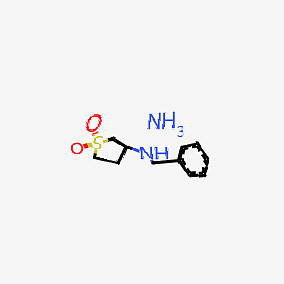 N.O=S1(=O)CCC(NCc2ccccc2)C1